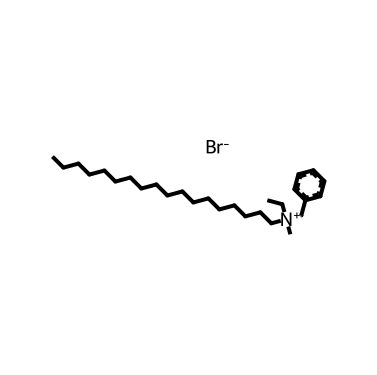 CCCCCCCCCCCCCCCCCC[N+](C)(CC)Cc1ccccc1.[Br-]